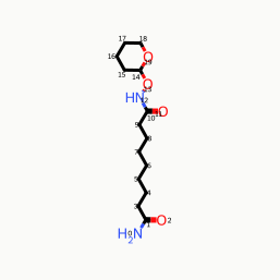 NC(=O)CCCCCCCC(=O)NOC1CCCCO1